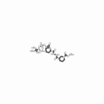 CCCCN(OS(=O)(=O)ON1C(=O)N2CC1CC[C@H]2C(=O)NNC(=O)[C@@H]1CCCN(C(=O)OC(C)(C)C)C1)C(CCC)(CCCC)CCCC